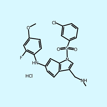 CNCc1cn(S(=O)(=O)c2cccc(Cl)c2)c2cc(Nc3ccc(OC)cc3F)ccc12.Cl